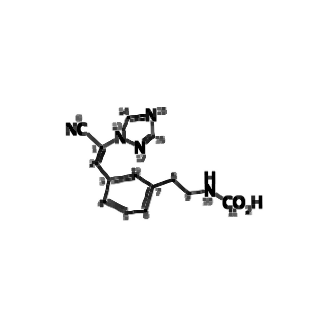 N#CC(=Cc1cccc(CCNC(=O)O)c1)n1cncn1